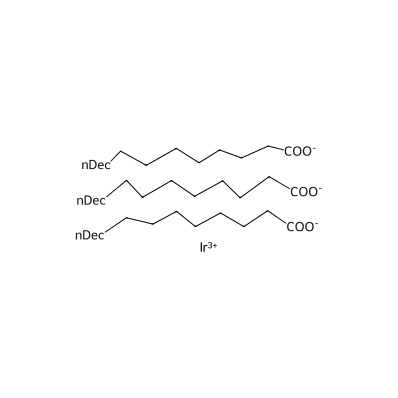 CCCCCCCCCCCCCCCCCC(=O)[O-].CCCCCCCCCCCCCCCCCC(=O)[O-].CCCCCCCCCCCCCCCCCC(=O)[O-].[Ir+3]